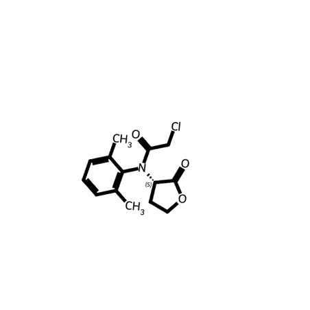 Cc1cccc(C)c1N(C(=O)CCl)[C@H]1CCOC1=O